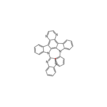 c1ccc(-n2c3ccccc3c3c4nccnc4c4c5ccccc5n(-c5ccc6ccccc6n5)c4c32)cc1